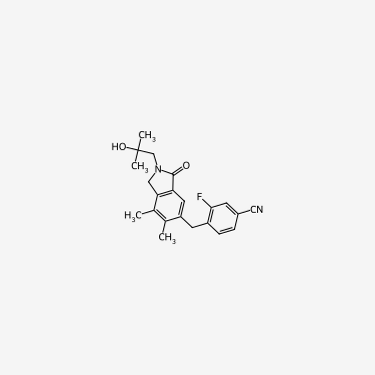 Cc1c(Cc2ccc(C#N)cc2F)cc2c(c1C)CN(CC(C)(C)O)C2=O